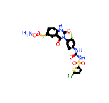 NOOSc1ccc2[nH]c(=O)n(-c3ccc(NC(=O)NS(=O)(=O)c4ccc(Cl)s4)cc3F)c(=O)c2c1